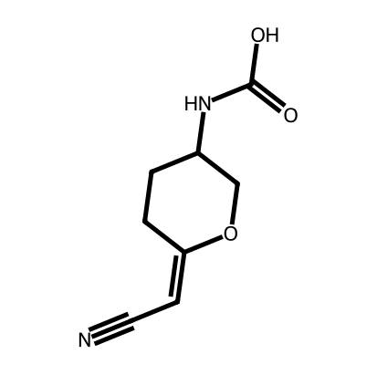 N#CC=C1CCC(NC(=O)O)CO1